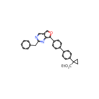 CCOC(=O)C1(c2ccc(-c3ccc(-c4occ5cnc(Cc6ccccc6)nc45)cc3)cc2)CC1